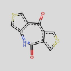 O=c1[nH]c2cscc2c(=O)c2cscc12